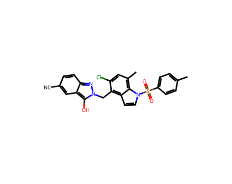 Cc1ccc(S(=O)(=O)n2ccc3c(Cn4nc5ccc(C#N)cc5c4O)c(Cl)cc(C)c32)cc1